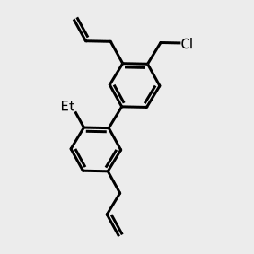 C=CCc1ccc(CC)c(-c2ccc(CCl)c(CC=C)c2)c1